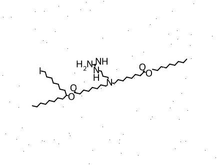 CCCCCCCCCOC(=O)CCCCCCCN(CCCCCCCC(=O)OC(CCCCCCCC)CCCCCCCI)CCCNC(=N)N